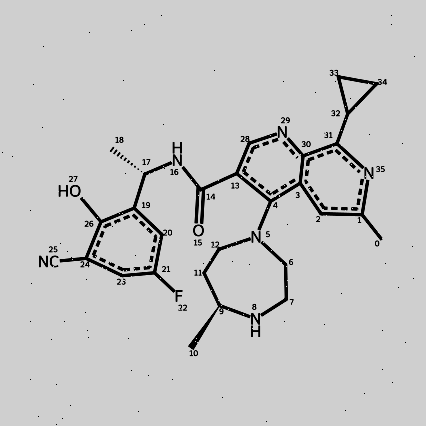 Cc1cc2c(N3CCN[C@@H](C)CC3)c(C(=O)N[C@@H](C)c3cc(F)cc(C#N)c3O)cnc2c(C2CC2)n1